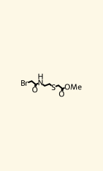 COC(=O)CSCCNC(=O)CBr